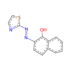 Oc1c(N=Nc2nccs2)ccc2ccccc12